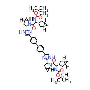 CC(C)(C)OC(=O)NC(C(=O)N1[C@@H]2CC2C[C@H]1c1nc(-c2ccc(-c3ccc(-c4c[nH]c([C@@H]5C[C@H]6C[C@H]6N5C(=O)C(NC(=O)OC(C)(C)C)[C@H]5C[C@@H]6C[C@@H]6C5)n4)cc3)cc2)c[nH]1)[C@H]1C[C@@H]2C[C@@H]2C1